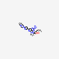 CCCC[C@](C)(CO)Nc1nc(N)nc2cc(-c3ccc(N4CCN(CC)CC4)nc3)ncc12